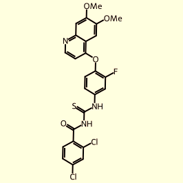 COc1cc2nccc(Oc3ccc(NC(=S)NC(=O)c4ccc(Cl)cc4Cl)cc3F)c2cc1OC